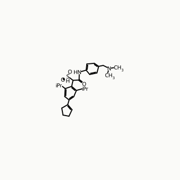 CC(C)c1cc(C2=CCCC2)cc(C(C)C)c1C(C(=O)Nc1ccc(CN(C)C)cc1)[SH](=O)=O